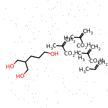 C=C(C)C(=O)O.C=C(C)C(=O)O.C=C(C)C(=O)O.C=CC.OCCCC(CO)CO